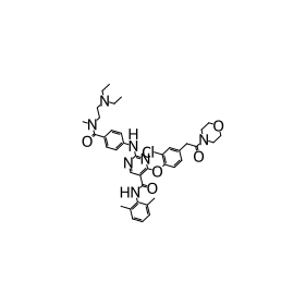 CCN(CC)CCN(C)C(=O)c1ccc(Nc2ncc(C(=O)Nc3c(C)cccc3C)c(Oc3ccc(CC(=O)N4CCOCC4)cc3Cl)n2)cc1